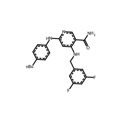 CCCCc1ccc(Nc2cc(NCc3cc(F)cc(F)c3)c(C(N)=O)cn2)cc1